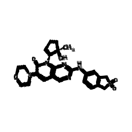 C[C@@]1(O)CCC[C@H]1n1c(=O)c(N2CCOCC2)cc2cnc(Nc3ccc4c(c3)CS(=O)(=O)C4)nc21